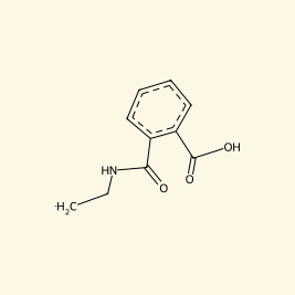 [CH2]CNC(=O)c1ccccc1C(=O)O